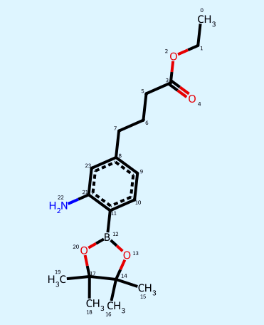 CCOC(=O)CCCc1ccc(B2OC(C)(C)C(C)(C)O2)c(N)c1